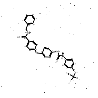 O=C(Nc1ccc(Oc2ccc(C(=O)NCc3ccccc3)cc2)cc1)Nc1ccc(OC(F)(F)F)cc1